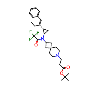 CC/C(=C\c1ccccc1)[C@@H]1C[C@H]1N(C(=O)C(F)(F)F)C1CC2(CCN(CCC(=O)OC(C)(C)C)CC2)C1